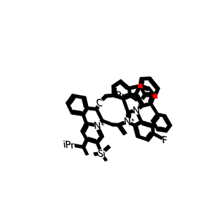 C=C1CC2C(CCc3ccc4c(sc5ccccc54)c3-c3n(-c4c(-c5ccccc5)cccc4C(C)(C)C)c4cc(F)ccc4[n+]31)c1ccccc1-c1cc(C(C)C(C)C)c([Si](C)(C)C)c[n+]12